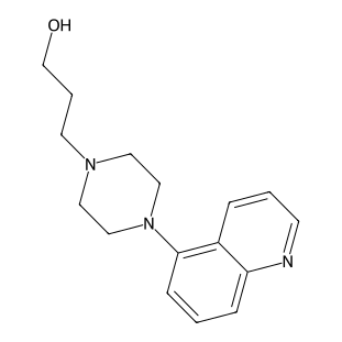 OCCCN1CCN(c2cccc3ncccc23)CC1